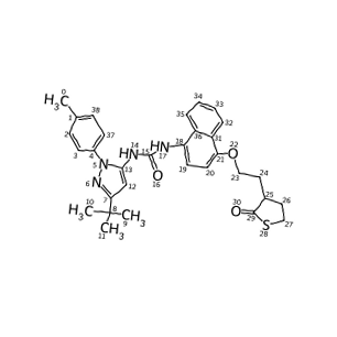 Cc1ccc(-n2nc(C(C)(C)C)cc2NC(=O)Nc2ccc(OCCC3CCSC3=O)c3ccccc23)cc1